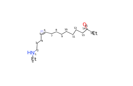 CCNCCC/C=C\CCCCCCCC(=O)CC